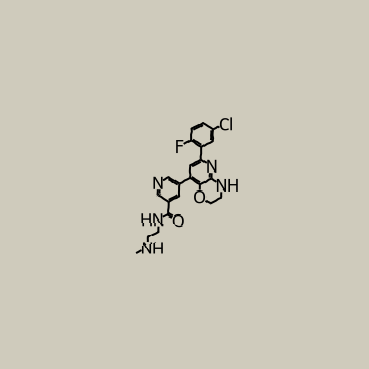 CNCCNC(=O)c1cncc(-c2cc(-c3cc(Cl)ccc3F)nc3c2OCCN3)c1